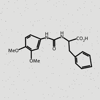 COc1ccc(NC(=O)NC(Cc2ccccc2)C(=O)O)cc1OC